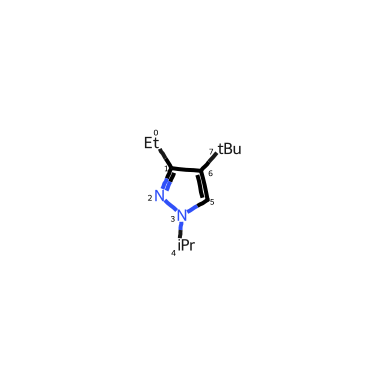 CCc1nn(C(C)C)cc1C(C)(C)C